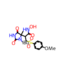 CCC(C)N1C(=O)NC(=O)C1(C)C(CS(=O)(=O)c1ccc(OC)cc1)C(=O)NO